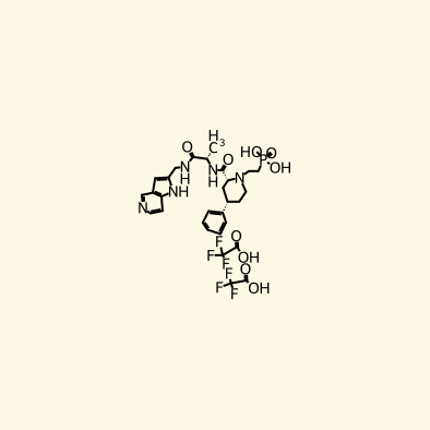 C[C@H](NC(=O)[C@H]1C[C@@H](c2ccccc2)CCN1CCP(=O)(O)O)C(=O)NCc1cc2cnccc2[nH]1.O=C(O)C(F)(F)F.O=C(O)C(F)(F)F